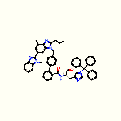 CCCc1nc2c(C)cc(-c3nc4ccccc4n3C)cc2n1Cc1ccc(-c2ccccc2C(=O)N[C@H](C=O)Cc2cn(C(c3ccccc3)(c3ccccc3)c3ccccc3)cn2)cc1